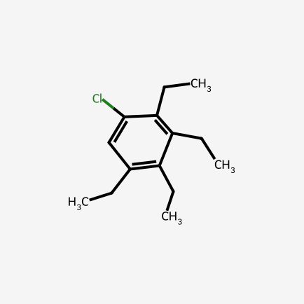 CCc1cc(Cl)c(CC)c(CC)c1CC